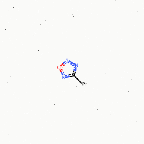 CC(C)c1nnon1